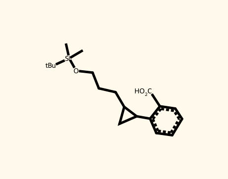 CC(C)(C)[Si](C)(C)OCCCC1CC1c1ccccc1C(=O)O